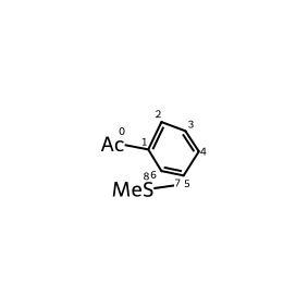 CC(=O)c1ccccc1.CSC